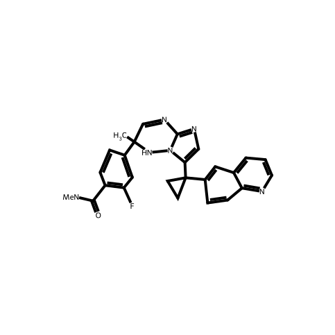 CNC(=O)c1ccc(C2(C)C=Nc3ncc(C4(c5ccc6ncccc6c5)CC4)n3N2)cc1F